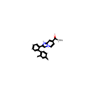 COC(=O)c1ccn2cc(-c3ccccc3-c3ccc(C)cc3C)nc2c1